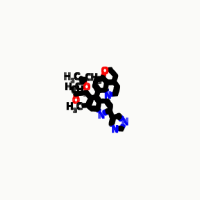 CC(=O)[C@@H](OC(C)(C)C)c1c(C)cc2nc(-c3cncnc3)ccc2c1-c1ccc2c3c(ccnc13)CCO2